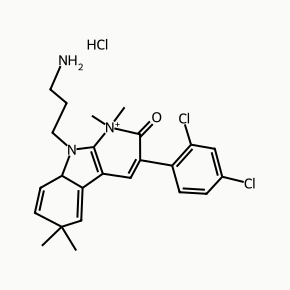 CC1(C)C=CC2C(=C1)C1=C(N2CCCN)[N+](C)(C)C(=O)C(c2ccc(Cl)cc2Cl)=C1.Cl